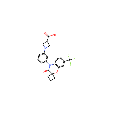 O=C(O)C1CN(c2cccc(N3C(=O)C4(CCC4)Oc4cc(C(F)(F)F)ccc43)c2)C1